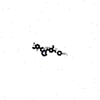 C=Cc1c(OC)ccc(C2=CN=C3/C(=C\C=C/C/C=C/3C(=N)c3ccc(C(=O)C[C@H]4CC[C@H](N)CC4)c(CC)c3)C2)c1F